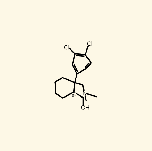 CN(C)CC1(c2ccc(Cl)c(Cl)c2)CCCC[C@@H]1CO